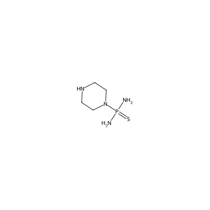 NP(N)(=S)N1CCNCC1